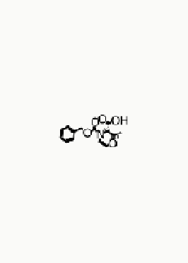 C[C@H]1OC=CN(C(=O)OCc2ccccc2)[C@@H]1C(=O)O